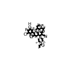 C=CC(=O)N1[C@H](C)CN(c2c(C#N)c(=O)n(C3=C(C)C=CN(C)C3C(C)C)c3nc(-c4c(F)c(O)c(F)c(Cl)c4Cl)c(Cl)cc23)C[C@@H]1C